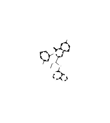 CC[C@H](Nc1ncnc2[nH]cnc12)c1cc2ccc(F)cc2c(=O)n1-c1cccc(F)c1